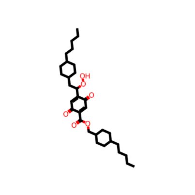 CCCCCC1CCC(COC(=O)C2=CC(=O)C(C(CC3CCC(CCCCC)CC3)OO)=CC2=O)CC1